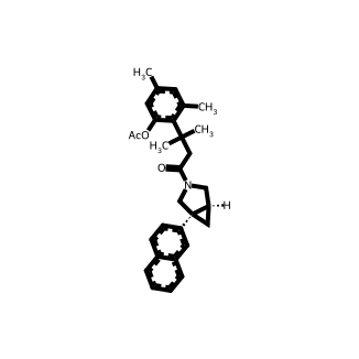 CC(=O)Oc1cc(C)cc(C)c1C(C)(C)CC(=O)N1C[C@H]2C[C@@]2(c2ccc3ccccc3c2)C1